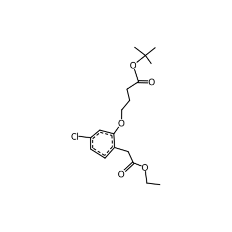 CCOC(=O)Cc1ccc(Cl)cc1OCCCC(=O)OC(C)(C)C